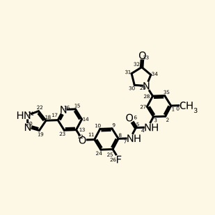 Cc1cc(NC(=O)Nc2ccc(Oc3ccnc(-c4cn[nH]c4)c3)cc2F)cc(N2CCC(=O)C2)c1